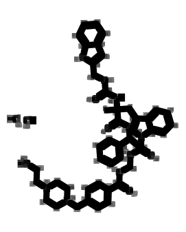 CC(NC(=O)C(C)(Cc1cn(C(=O)OCOC(=O)c2ccc(CN3CCN(CCO)CC3)cc2)c2ccccc12)NC(=O)OCc1cc2ccccc2o1)c1ccccc1.Cl.Cl